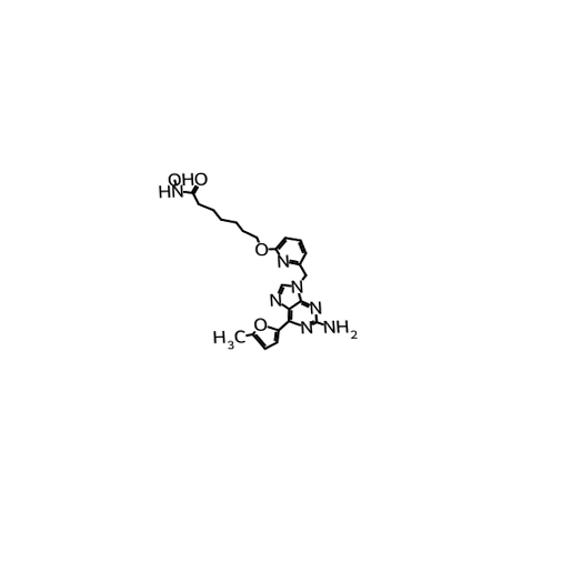 Cc1ccc(-c2nc(N)nc3c2ncn3Cc2cccc(OCCCCCCC(=O)NO)n2)o1